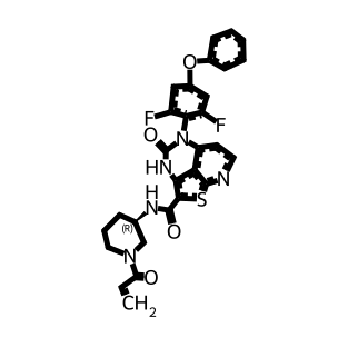 C=CC(=O)N1CCC[C@@H](NC(=O)c2sc3nccc4c3c2NC(=O)N4c2c(F)cc(Oc3ccccc3)cc2F)C1